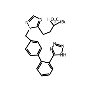 CC(C)(C)C(CCc1ncnn1Cc1ccc(-c2ccccc2-c2nnn[nH]2)cc1)C(=O)O